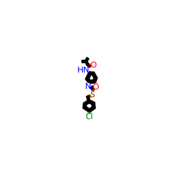 CC(C)C(=O)Nc1ccc2oc(SCc3ccc(Cl)cc3)nc2c1